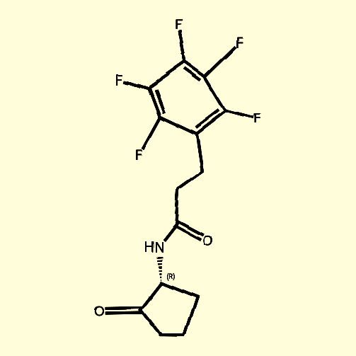 O=C(CCc1c(F)c(F)c(F)c(F)c1F)N[C@@H]1CCCC1=O